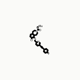 CC(C)(C)OC(=O)N1CCc2ccc(Cl)c(SCc3ccc(C#Cc4ccc(F)cc4)cn3)c2CC1